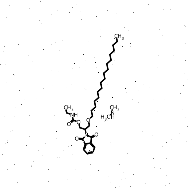 CCCCCCCCCCCCCCCCCCOCC(COC(=O)NCC)N1C(=O)c2ccccc2C1=O.CNC